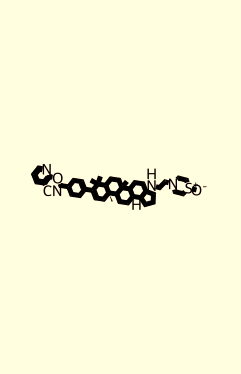 CC1(C)C(C2=CCC(COc3ncccc3C#N)CC2)=CC[C@@]2(C)C1CCC1(C)C3CCC4(NCCN5CC[S+]([O-])CC5)CCC[C@@H]4C3CCC12